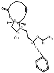 O=C1CCC/C=C\C[C@@H]2[C@@H](CC[C@H](CCc3ccccc3)OPP)[C@H](O)C[C@@H]2O1